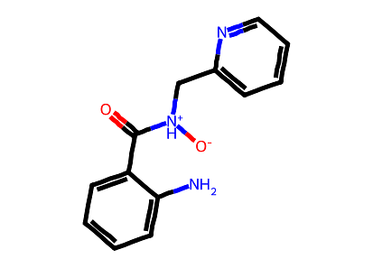 Nc1ccccc1C(=O)[NH+]([O-])Cc1ccccn1